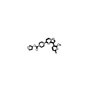 COc1nc(C)ccc1-c1cnn2ccc(N3CCN(C(=O)O[C@@H]4CCOC4)CC3)nc12